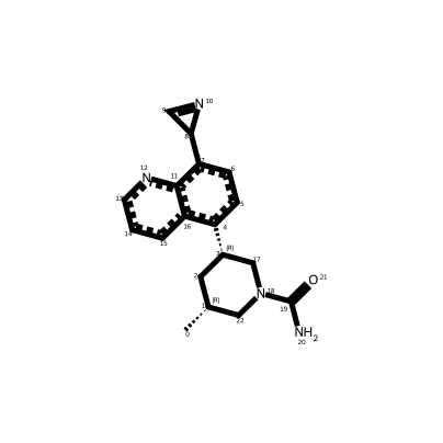 C[C@@H]1C[C@H](c2ccc(C3C=N3)c3ncccc23)CN(C(N)=O)C1